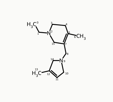 CCN1CCC(C)=C(CN2CC=C(C)C2)C1